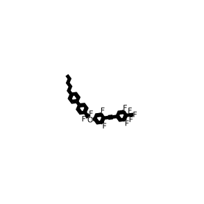 CCCCCc1ccc(-c2ccc(C(F)(F)Oc3cc(F)c(C#Cc4cc(F)c(C(F)(F)F)c(F)c4)c(F)c3)cc2)cc1